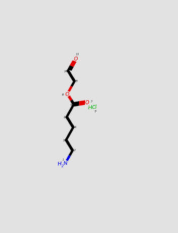 Cl.NCCCCC(=O)OCC=O